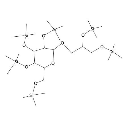 C[Si](C)(C)OCC(COC1OC(CO[Si](C)(C)C)C(O[Si](C)(C)C)C(O[Si](C)(C)C)C1O[Si](C)(C)C)O[Si](C)(C)C